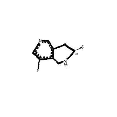 Fc1cncc2c1CN[C@@H](F)C2